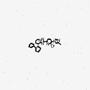 COc1nc(-c2nc3n(n2)CCC[C@H]3c2ccccc2-c2ccccc2)ccc1-n1cnc(C)c1